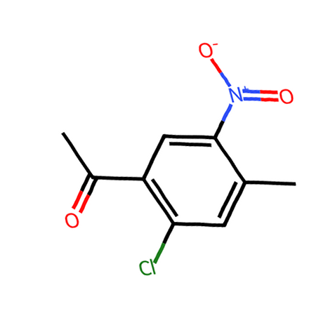 CC(=O)c1cc([N+](=O)[O-])c(C)cc1Cl